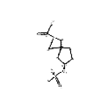 CS(=O)(=O)O[C@@H]1CCC2(C1)CN(C(=O)O)C2